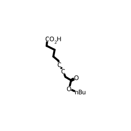 CCCCOC(=O)CCCCCCCC(=O)O